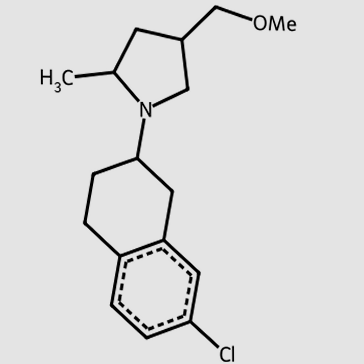 COCC1CC(C)N(C2CCc3ccc(Cl)cc3C2)C1